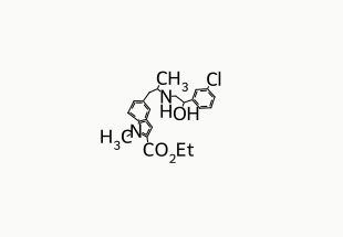 CCOC(=O)c1cc2cc(CC(C)NCC(O)c3cccc(Cl)c3)ccc2n1C